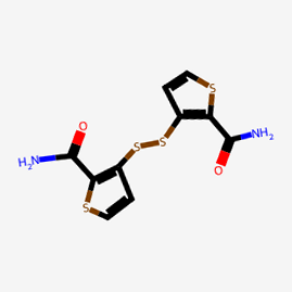 NC(=O)c1sccc1SSc1ccsc1C(N)=O